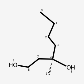 CCCC[C@@](C)(O)CCO